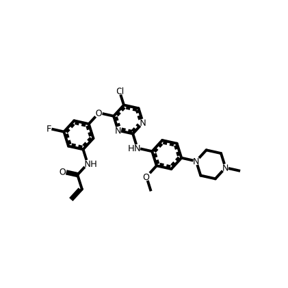 C=CC(=O)Nc1cc(F)cc(Oc2nc(Nc3ccc(N4CCN(C)CC4)cc3OC)ncc2Cl)c1